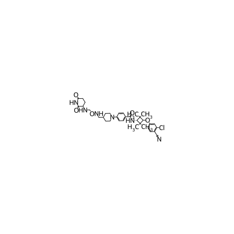 CC1(C)[C@H](NC(=O)c2ccc(N3CCC(CNOCNC4CCC(=O)NC4=O)CC3)cc2)C(C)(C)[C@H]1Oc1ccc(C#N)c(Cl)c1